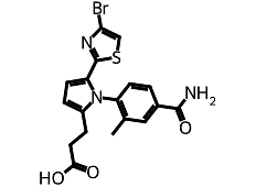 Cc1cc(C(N)=O)ccc1-n1c(CCC(=O)O)ccc1-c1nc(Br)cs1